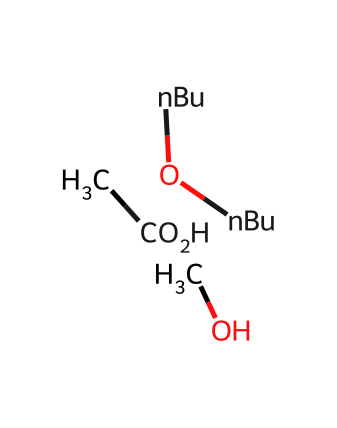 CC(=O)O.CCCCOCCCC.CO